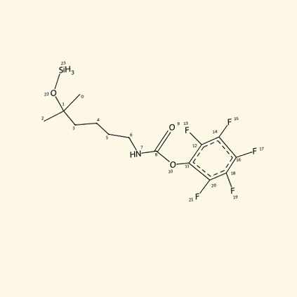 CC(C)(CCCCNC(=O)Oc1c(F)c(F)c(F)c(F)c1F)O[SiH3]